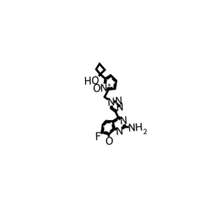 COc1c(F)ccc2c(-c3cn(Cc4cccc(C5(O)CCC5)[n+]4[O-])nn3)nc(N)nc12